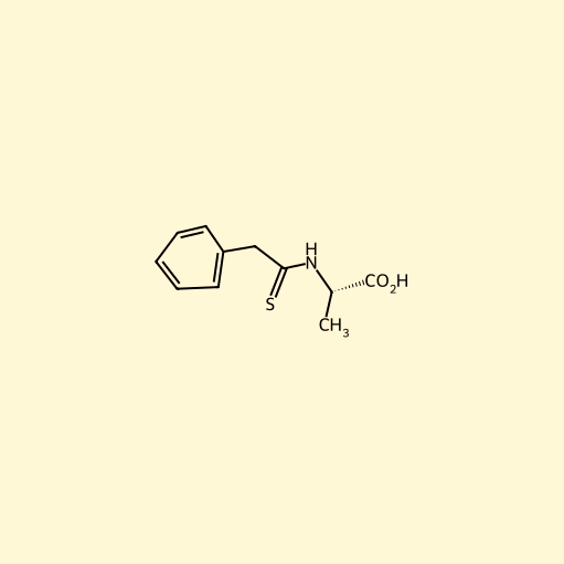 C[C@H](NC(=S)Cc1ccccc1)C(=O)O